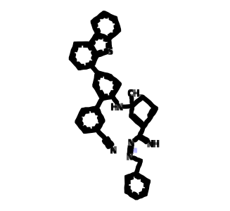 CC1(Nc2ccc(-c3cccc4c3sc3ccccc34)cc2-c2cccc(C#N)c2)C=C(C(=N)/N=N\Cc2ccccc2)C=CC1